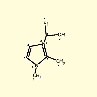 CCC(O)[n+]1ccn(C)c1C